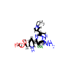 Cn1ccc(-c2cnn3c(N)c(Br)c([C@H]4CC[C@@H](CC(=O)O)NC4)nc23)c1